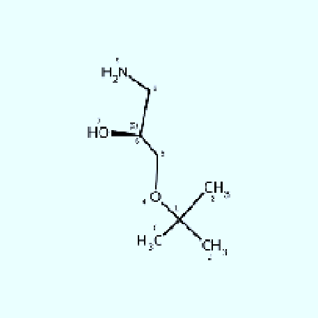 CC(C)(C)OC[C@@H](O)CN